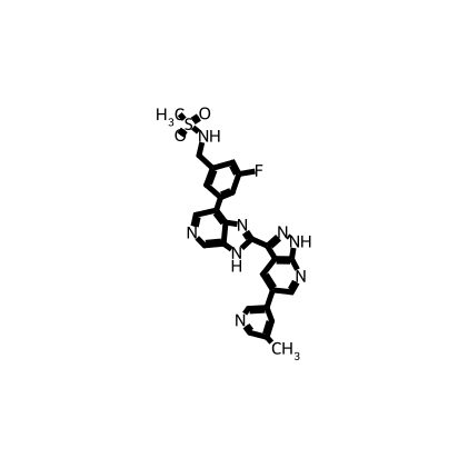 Cc1cncc(-c2cnc3[nH]nc(-c4nc5c(-c6cc(F)cc(CNS(C)(=O)=O)c6)cncc5[nH]4)c3c2)c1